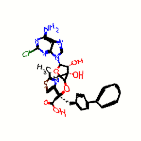 Cc1nc([C@@](Cc2ccc(-c3ccccc3)cc2)(OC2[C@H]3O[C@@H](n4cnc5c(N)nc(Cl)nc54)[C@H](O)[C@@]23O)C(=O)O)cs1